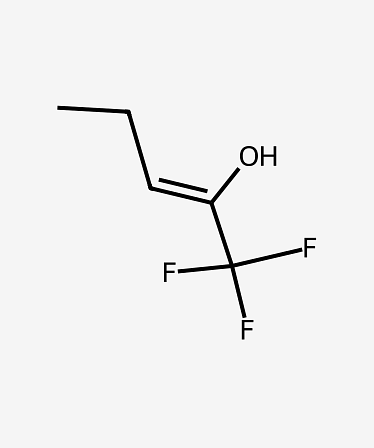 CCC=C(O)C(F)(F)F